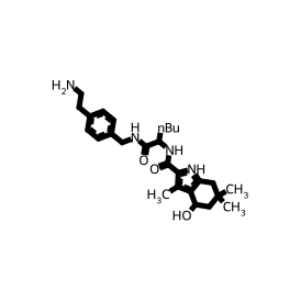 CCCCC(NC(=O)c1[nH]c2c(c1C)C(O)CC(C)(C)C2)C(=O)NCc1ccc(CCN)cc1